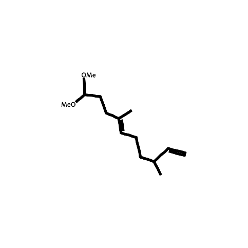 C=CC(C)CC/C=C(\C)CCC(OC)OC